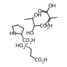 CC(=O)C(=O)O.CC(O)C(O)C(=O)O.O=C(O)C1CCCN1.O=C(O)CCC(=O)O